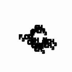 Cc1ccc(C(=O)Nc2cc(N3CC[C@@H](N(C)C)C3)cc(C(F)(F)F)c2)cc1-n1cc(-c2cnn(C)c2C)nn1